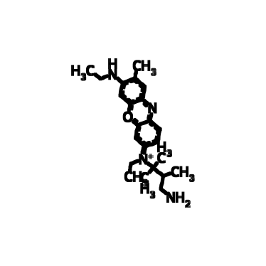 CCNc1cc2oc3c/c(=[N+](\CC)C(C)(C)C(C)CN)ccc-3nc2cc1C